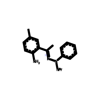 CCCN(/N=C(\C)c1cc(C)ccc1N)c1ccccc1